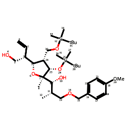 C=C[C@@H](CO)[C@H]1O[C@](C)([C@H](O)[C@@H](C)COCc2ccc(OC)cc2)[C@@H](O[Si](C)(C)C(C)(C)C)[C@H]1CO[Si](C)(C)C(C)(C)C